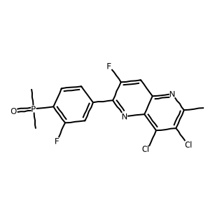 Cc1nc2cc(F)c(-c3ccc(P(C)(C)=O)c(F)c3)nc2c(Cl)c1Cl